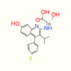 CC(C)c1c(N[C@@H](CO)C(=O)O)nc2cc(O)ccc2c1-c1ccc(F)cc1